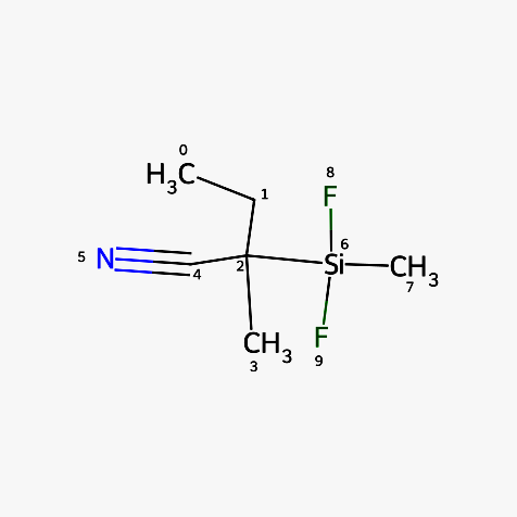 CCC(C)(C#N)[Si](C)(F)F